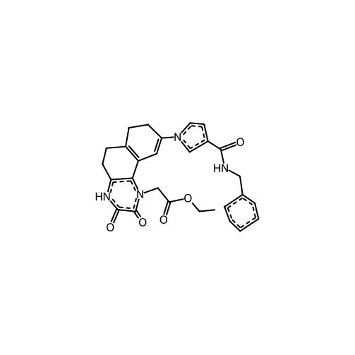 CCOC(=O)Cn1c2c([nH]c(=O)c1=O)CCC1=C2C=C(n2ccc(C(=O)NCc3ccccc3)c2)CC1